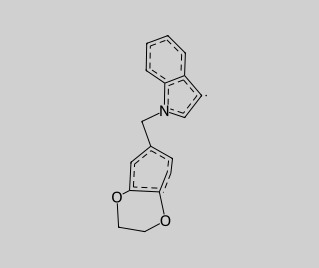 [c]1cn(Cc2ccc3c(c2)OCCO3)c2ccccc12